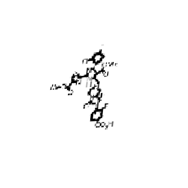 COC(=O)C1=C(CN2CCN3C(=O)N(c4ccc(C(=O)O)cc4F)C[C@@H]3C2)NC(c2nc(C(=O)OC)cs2)=N[C@H]1c1ccc(F)cc1Cl